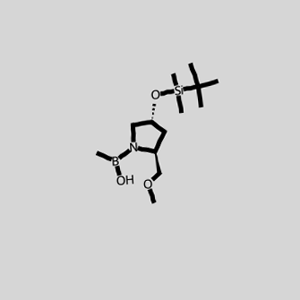 COC[C@@H]1C[C@@H](O[Si](C)(C)C(C)(C)C)CN1B(C)O